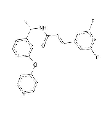 C[C@H](NC(=O)/C=C/c1cc(F)cc(F)c1)c1cccc(Oc2ccncc2)c1